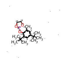 Cc1cc(C(C)(C)C)cc(C(C)(C)C)c1OP1OCCO1